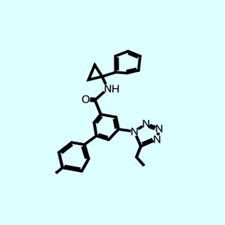 CCc1nnnn1-c1cc(C(=O)NC2(c3ccccc3)CC2)cc(-c2ccc(C)cc2)c1